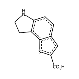 O=C(O)c1cc2ccc3c(c2s1)CCN3